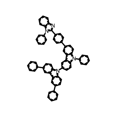 c1ccc(-c2ccc3c(c2)c2cc(-c4ccccc4)ccc2n3-c2ccc3c(c2)c2cc(-c4ccc(-c5nc6ccccc6n5-c5ccccc5)cc4)ccc2n3-c2ccccc2)cc1